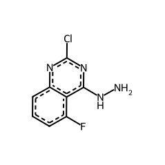 NNc1nc(Cl)nc2cccc(F)c12